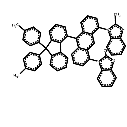 Cc1ccc(C2(c3ccc(C)cc3)c3ccccc3-c3c(-c4c5cccc(-n6c(C)nc7ccccc76)c5cc5c(-n6c(C)nc7ccccc76)cccc45)cccc32)cc1